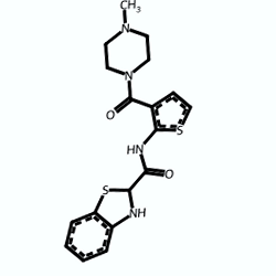 CN1CCN(C(=O)c2ccsc2NC(=O)C2Nc3ccccc3S2)CC1